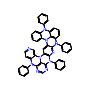 c1ccc(-n2c3ccccc3n3c4cc5c(nc4n(-c4ccccc4)c4cccc2c43)n(-c2ccccc2)c2ncnc3c2n5c2cnccc2n3-c2ccccc2)cc1